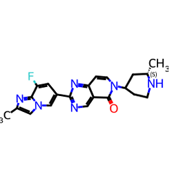 Cc1cn2cc(-c3ncc4c(=O)n(C5CCN[C@@H](C)C5)ccc4n3)cc(F)c2n1